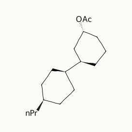 CCC[C@H]1CC[C@@H]([C@@H]2CCC[C@@H](OC(C)=O)C2)CC1